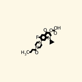 CCCC(=O)N1CCN(c2cc3c(cc2F)c(=O)c(OC(=O)O)cn3C2CC2)CC1